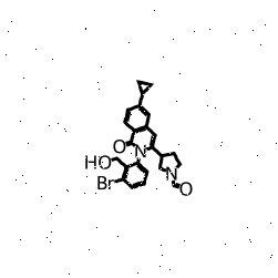 O=CN1CCC(c2cc3cc(C4CC4)ccc3c(=O)n2-c2cccc(Br)c2CO)C1